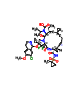 CC[C@@H]1C[C@@H](C)CC/C=C\[C@@H]2C[C@@]2(C(=O)NS(=O)(=O)C2(C)CC2)NC(=O)[C@@H]2N(C[C@@](C)(Oc3nccc4cc(OC)c(Cl)cc34)C2(F)F)C(=O)[C@H]1N(C(=O)O)C(C)C